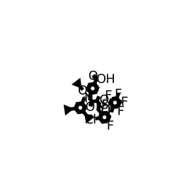 CC(C(=O)N(Cc1cc(C2CC2)cc(C2CC2)c1)c1ccc(C(=O)O)cc1OC1CC1)N(Cc1ccc(F)cc1Cl)S(=O)(=O)c1c(F)c(F)c(F)c(F)c1F